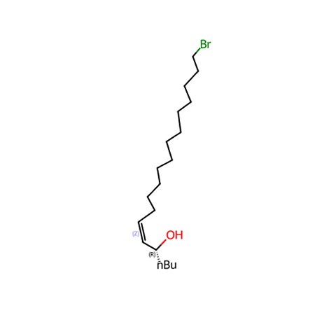 CCCC[C@@H](O)/C=C\CCCCCCCCCCCCBr